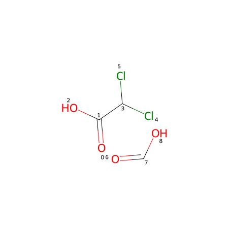 O=C(O)C(Cl)Cl.O=CO